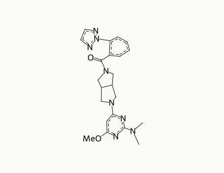 COc1cc(N2CC3CN(C(=O)c4ccccc4-n4nccn4)CC3C2)nc(N(C)C)n1